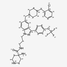 NC1(C(=O)NCCCn2nc(-c3ccc(OC(F)(F)F)cc3)c3cc(CN4CCN(Cc5ccccc5Cl)CC4)ccc32)CCNCC1